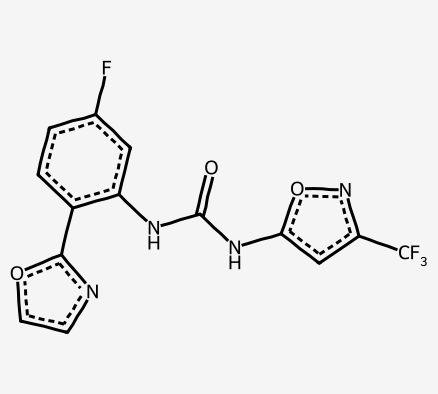 O=C(Nc1cc(C(F)(F)F)no1)Nc1cc(F)ccc1-c1ncco1